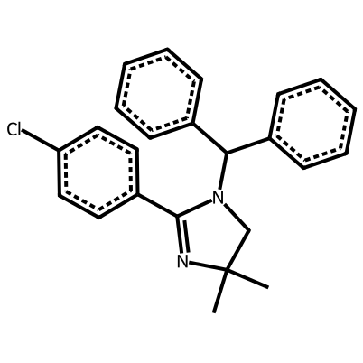 CC1(C)CN(C(c2ccccc2)c2ccccc2)C(c2ccc(Cl)cc2)=N1